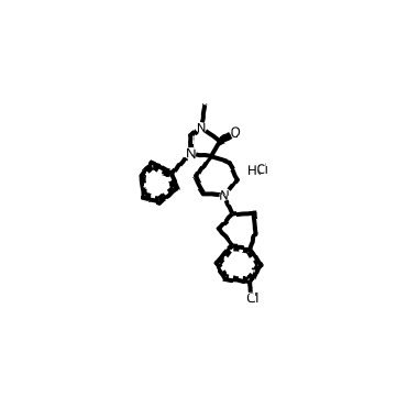 CN1CN(c2ccccc2)C2(CCN(C3CCc4cc(Cl)ccc4C3)CC2)C1=O.Cl